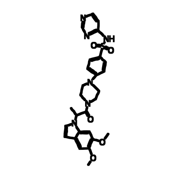 COc1cc2ccn(C(C)C(=O)N3CCN(c4ccc(S(=O)(=O)Nc5ccncn5)cc4)CC3)c2cc1OC